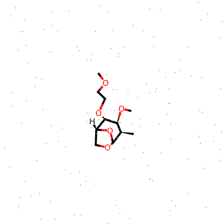 COCCO[C@@H]1[C@@H](OC)[C@@H](C)C2OC[C@H]1O2